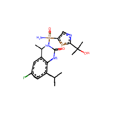 CC(C)c1cc(F)cc(C(C)C)c1NC(=O)N[SH](N)(=O)c1cnc(C(C)(C)O)s1